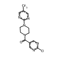 O=C(c1cnc(Cl)nc1)N1CCN(c2ncc(C(F)(F)F)cn2)CC1